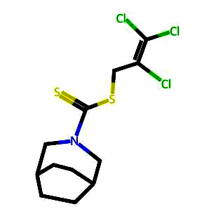 S=C(SCC(Cl)=C(Cl)Cl)N1CC2CCC(CC2)C1